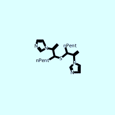 C=C(C(CCCCC)SC(CCCCC)C(=C)n1ccnc1)n1ccnc1